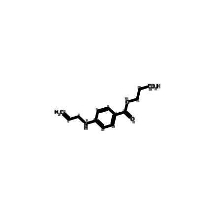 C=CCNc1ccc(C(=O)OCCC(=O)O)cc1